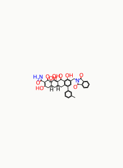 Cc1cccc(-c2cc(CN3C(=O)c4ccccc4C3=O)c(O)c3c2C[C@H]2C[C@H]4CC(O)=C(C(N)=O)C(=O)[C@@]4(O)C(O)=C2C3=O)c1